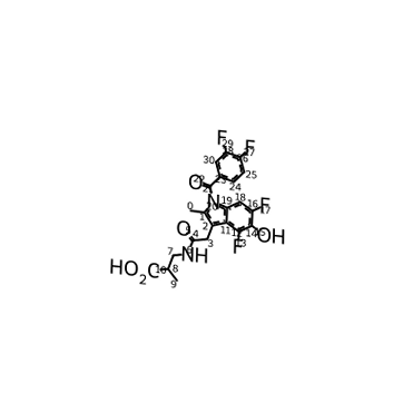 Cc1c(CC(=O)NCC(C)C(=O)O)c2c(F)c(O)c(F)cc2n1C(=O)c1ccc(F)c(F)c1